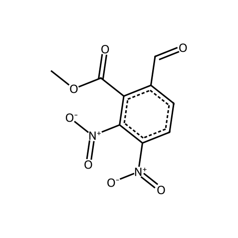 COC(=O)c1c(C=O)ccc([N+](=O)[O-])c1[N+](=O)[O-]